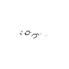 COC(=O)c1cc2c(Oc3ccc(-n4ccnc4)cc3)cncc2s1